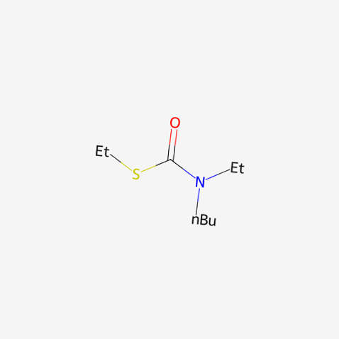 CCCCN(CC)C(=O)SCC